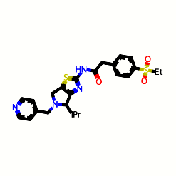 CCS(=O)(=O)c1ccc(CC(=O)Nc2nc3c(s2)CN(Cc2ccncc2)C3C(C)C)cc1